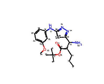 CCCC(C(=O)OC(C)(C)C)C(N)c1nnc(Nc2cccc(OC)c2)[se]1